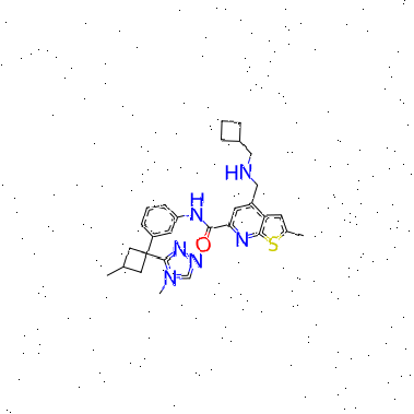 Cc1cc2c(CNCC3CCC3)cc(C(=O)Nc3cccc(C4(c5nncn5C)CC(C)C4)c3)nc2s1